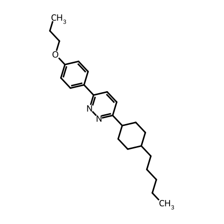 CCCCCC1CCC(c2ccc(-c3ccc(OCCC)cc3)nn2)CC1